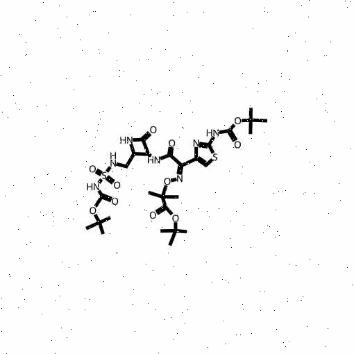 CC(C)(C)OC(=O)Nc1nc(/C(=N/OC(C)(C)C(=O)OC(C)(C)C)C(=O)NC2C(=O)NC2CNS(=O)(=O)NC(=O)OC(C)(C)C)cs1